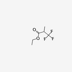 CCOC(=O)C(C)C(F)(F)F